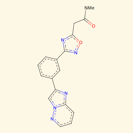 CNC(=O)Cc1nc(-c2cccc(-c3cn4ncccc4n3)c2)no1